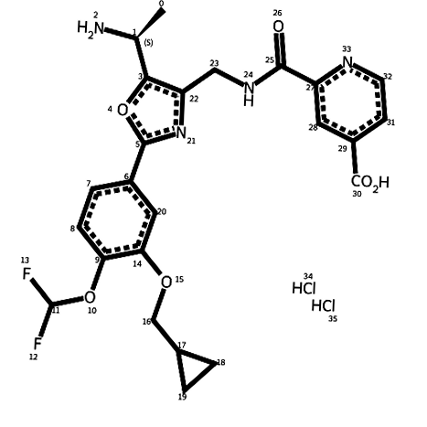 C[C@H](N)c1oc(-c2ccc(OC(F)F)c(OCC3CC3)c2)nc1CNC(=O)c1cc(C(=O)O)ccn1.Cl.Cl